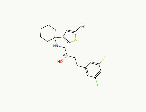 CC(C)c1cc(C2(NC[C@@H](O)CCc3cc(F)cc(F)c3)CCCCC2)cs1